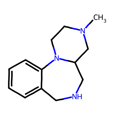 CN1CCN2c3ccccc3CNCC2C1